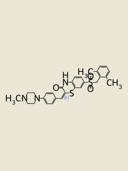 Cc1cccc(C)c1CS(=O)(=O)c1ccc2c(c1)S/C(=C/c1ccc(N3CCN(C)CC3)cc1)C(=O)N2